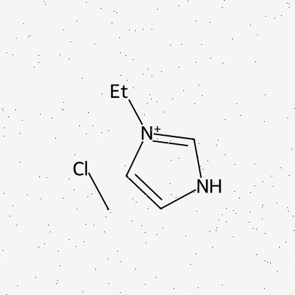 CC[n+]1cc[nH]c1.CCl